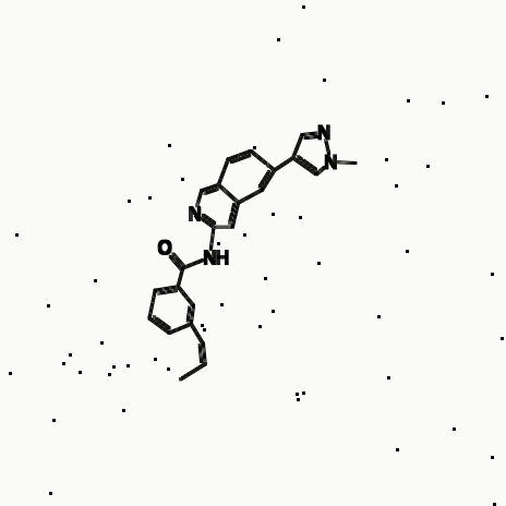 C/C=C\c1cccc(C(=O)Nc2cc3cc(-c4cnn(C)c4)ccc3cn2)c1